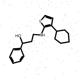 OC(CCNc1sccc1C1CCCCC1)c1ccccc1